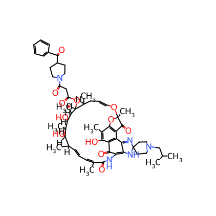 C/C1=C/C=C/[C@H](C)[C@H](O)[C@@H](C)[C@@H](O)[C@@H](C)[C@H](OC(=O)CC(=O)N2CCC(C(=O)c3ccccc3)CC2)[C@H](C)C/C=C/O[C@@]2(C)Oc3c(C)c(O)c4c(c3C2=O)C2=NC3(CCN(CC(C)C)CC3)NC2=C(NC1=O)C4=O